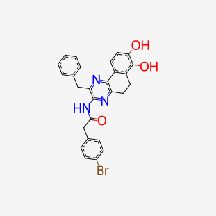 O=C(Cc1ccc(Br)cc1)Nc1nc2c(nc1Cc1ccccc1)-c1ccc(O)c(O)c1CC2